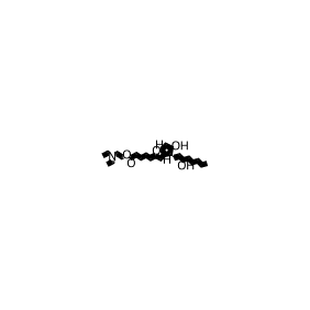 CCCCC[C@H](O)/C=C/[C@@H]1[C@H]2C/C(=C/CCCC(=O)OCCN(CC)CC)O[C@@H]2C[C@H]1O